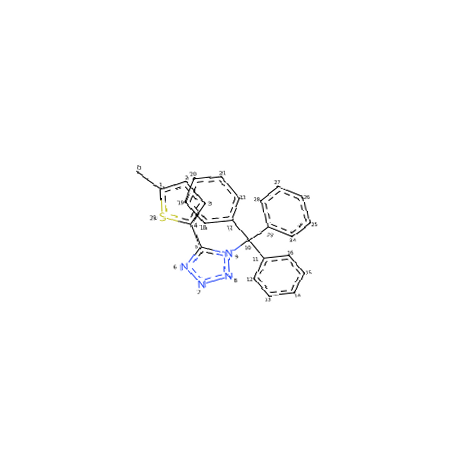 Cc1ccc(-c2nnnn2C(c2ccccc2)(c2ccccc2)c2ccccc2)s1